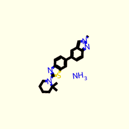 Cn1cc2cc(-c3ccc4nc(N5CCCCC5(C)C)sc4c3)ccc2n1.N